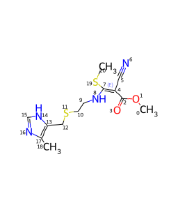 COC(=O)/C(C#N)=C(\NCCSCc1[nH]cnc1C)SC